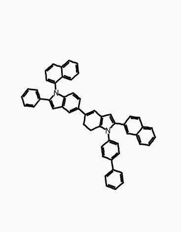 C1=C(c2ccc3c(c2)cc(-c2ccccc2)n3-c2cccc3ccccc23)CCc2c1cc(-c1ccc3ccccc3c1)n2-c1ccc(-c2ccccc2)cc1